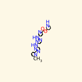 Cc1cccc(-c2nccc(Nc3ccnc(Nc4ccc(C(=O)O[C@@H]5CCCNC5)nc4)n3)n2)n1